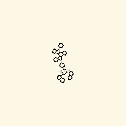 C1=C(c2cccc3ccccc23)NC(c2ccc(-c3cc4c5ccccc5c5c(c6ccccc6n5-c5ccccc5)c4c4ccccc34)cc2)NC1c1cccc2ccccc12